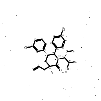 C=CC[C@@]1(C)C[C@H](c2cccc(Cl)c2)C(c2ccc(Cl)cc2)N([C@H](CC)C(C)O)C1=O